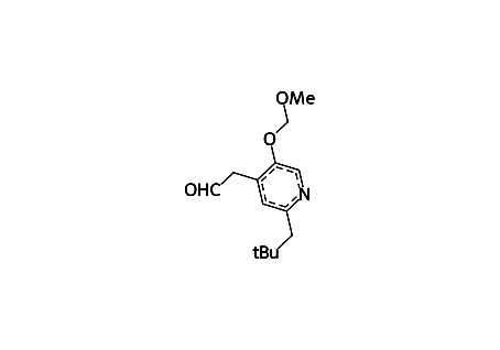 COCOc1cnc(CC(C)(C)C)cc1CC=O